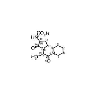 C[C@H](C(=O)N1CCCCC1)N1CC[C@H](NC(=O)O)C1=O